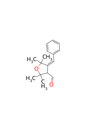 CC1(C)OC(C)(C)C(C=O)C1=Cc1ccccc1